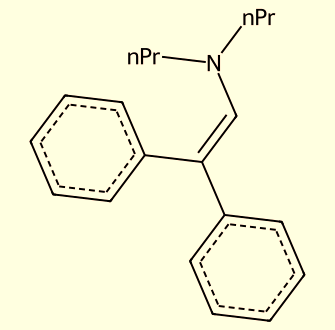 CCCN(C=C(c1ccccc1)c1ccccc1)CCC